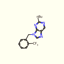 CCCCc1ncc2ncn(Cc3ccccc3C(F)(F)F)c2n1